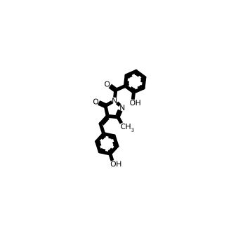 CC1=NN(C(=O)c2ccccc2O)C(=O)/C1=C/c1ccc(O)cc1